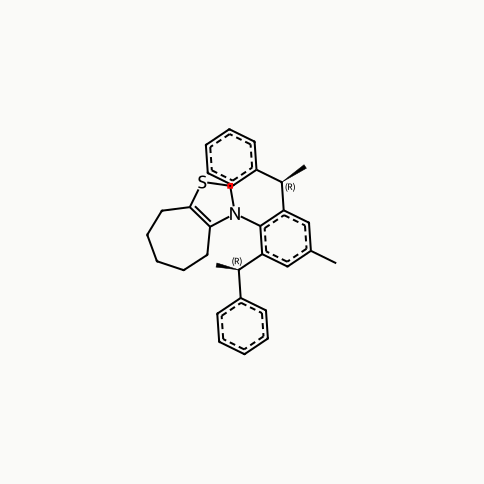 Cc1cc([C@H](C)c2ccccc2)c(N2CSC3=C2CCCCC3)c([C@H](C)c2ccccc2)c1